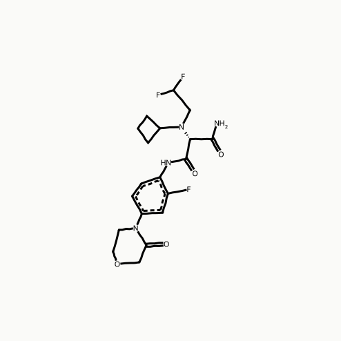 NC(=O)[C@H](C(=O)Nc1ccc(N2CCOCC2=O)cc1F)N(CC(F)F)C1CCC1